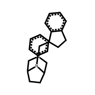 c1ccc(N2C3CCC2CN(CC2CCc4ccccc42)C3)cc1